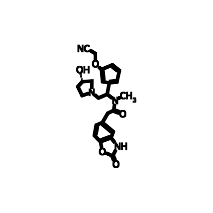 CN(C(=O)Cc1ccc2oc(=O)[nH]c2c1)C(CN1CC[C@H](O)C1)c1cccc(OCC#N)c1